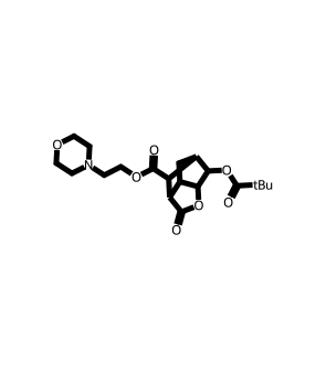 CC(C)(C)C(=O)OC1C2CC3C1OC(=O)C3C2C(=O)OCCN1CCOCC1